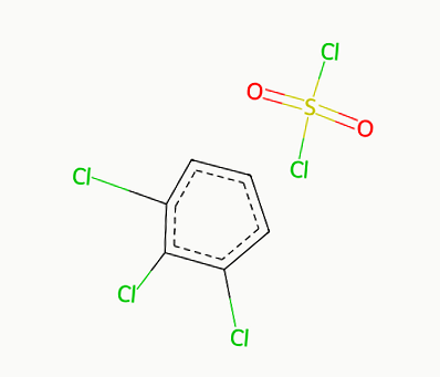 Clc1cccc(Cl)c1Cl.O=S(=O)(Cl)Cl